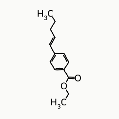 CCCC=Cc1ccc(C(=O)OCC)cc1